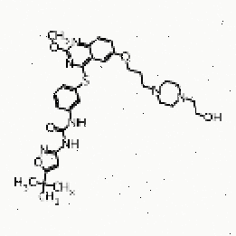 COc1nc(Sc2cccc(NC(=O)Nc3cc(C(C)(C)C)on3)c2)c2cc(OCCCN3CCN(CCO)CC3)ccc2n1